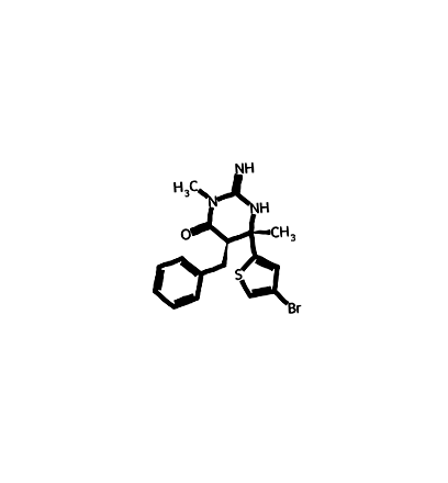 CN1C(=N)N[C@](C)(c2cc(Br)cs2)[C@@H](Cc2ccccc2)C1=O